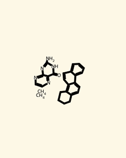 C.C.Nc1nc2nccnc2c(=O)[nH]1.c1ccc2c(c1)ccc1c3c(ccc12)CCCC3